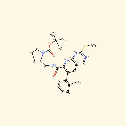 CSc1ncc2cc(-c3ccccc3C)c(C(=O)NCC3CCCN3C(=O)OC(C)(C)C)nc2n1